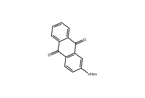 CCCCCCc1ccc2c(c1)C(=O)c1ccccc1C2=O